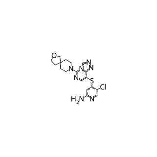 Nc1cc(Sc2cnc(N3CCC4(CCOC4)CC3)n3cnnc23)c(Cl)cn1